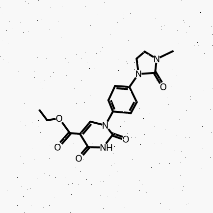 CCOC(=O)c1cn(-c2ccc(N3CCN(C)C3=O)cc2)c(=O)[nH]c1=O